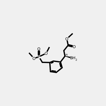 B[C@H](CC(=O)OC)c1cccc(CP(=O)(OC)OC)c1